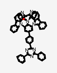 c1ccc(-c2nc(-c3ccccc3)nc(-c3ccc(-c4cc(-n5c6ccccc6c6ccccc65)c(-n5c6cccnc6c6ncccc65)c(-n5c6ccccc6c6ccccc65)c4)cc3)n2)cc1